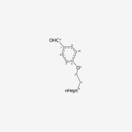 CCCCCCCCCOc1ccc(C=O)cc1